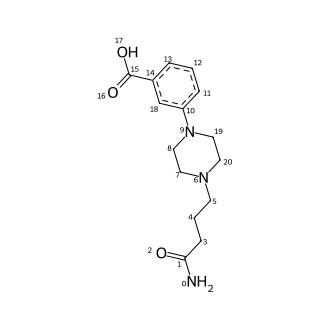 NC(=O)CCCN1CCN(c2cccc(C(=O)O)c2)CC1